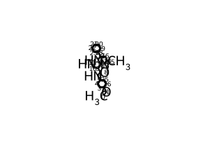 COc1ccc(NC(=O)/C(C=N)=C2\N=C(C)C=C(c3ccccc3)N2)cc1